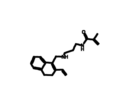 C=CC1=C(CNCCCNC(=O)C(=C)C)c2ccccc2CC1